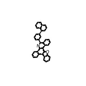 c1cc(-c2cccc3ccccc23)cc(-c2nc3c4ccccc4c4c5ccccc5oc4c3c3ccccc23)c1